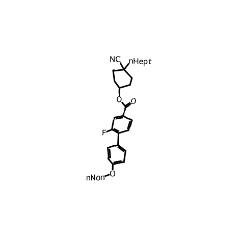 CCCCCCCCCOc1ccc(-c2ccc(C(=O)OC3CCC(C#N)(CCCCCCC)CC3)cc2F)cc1